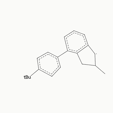 CC1[CH]c2cccc(-c3ccc(C(C)(C)C)cc3)c2C1